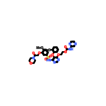 COc1ccc(S(=O)(=O)Nc2ncnc(OCCOC(=O)Nc3cnccn3)c2Oc2ccccc2OC)cc1OCC(=O)N1CCOCC1